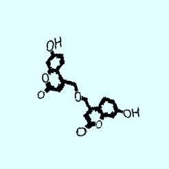 O=c1cc(COCc2cc(=O)oc3cc(O)ccc23)c2ccc(O)cc2o1